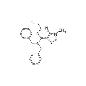 Cn1cnc2c(N(Cc3ccccc3)Cc3ccccc3)nc(CF)nc21